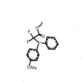 COc1ccc([I+](c2ccccc2)C(F)(F)C(=O)OF)cc1